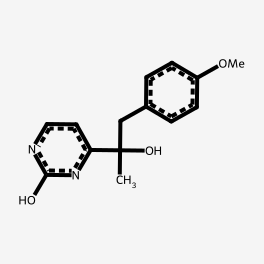 COc1ccc(CC(C)(O)c2ccnc(O)n2)cc1